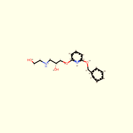 OCCNC[C@@H](O)COc1cccc(OCc2ccccc2)n1